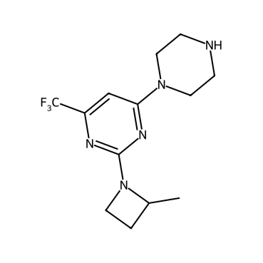 CC1CCN1c1nc(N2CCNCC2)cc(C(F)(F)F)n1